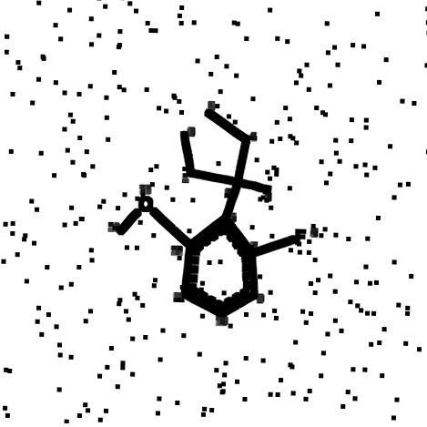 CCC(C)(CC)c1c(F)cccc1OC